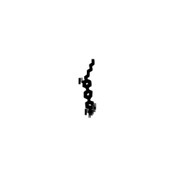 CCCCCCCc1ccc(-c2ccc(-c3ccc(C(F)(F)F)nc3)cc2)cc1F